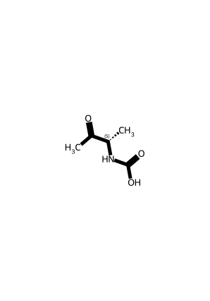 CC(=O)[C@H](C)NC(=O)O